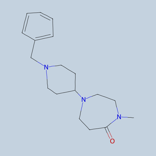 CN1CCN(C2CCN(Cc3ccccc3)CC2)CCC1=O